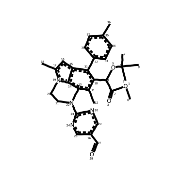 COC(=O)C(OC(C)(C)C)c1c(C)c2c3c(cc(C)n3CCN2c2ncc(C=O)cn2)c1-c1ccc(C)cc1